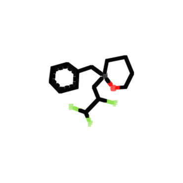 FC(F)C(F)C[Si]1(Cc2ccccc2)CCCCO1